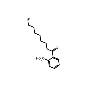 CC(C)CCCCCCOC(=O)c1ccccc1C(=O)O